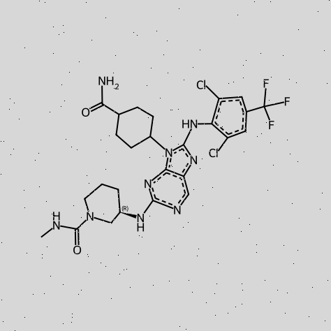 CNC(=O)N1CCC[C@@H](Nc2ncc3nc(Nc4c(Cl)cc(C(F)(F)F)cc4Cl)n(C4CCC(C(N)=O)CC4)c3n2)C1